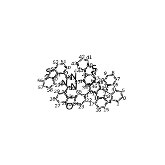 c1ccc2c(c1)-c1ccccc1C21c2ccccc2-c2c(-c3ccc4oc5cccc(-c6nc(-c7cccc8sc9ccccc9c78)nc(-c7cccc8sc9ccccc9c78)n6)c5c4c3)cccc21